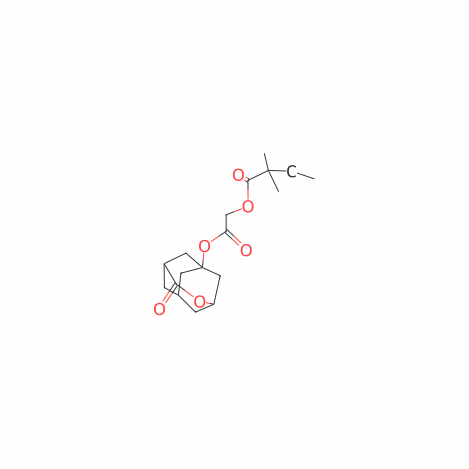 CCC(C)(C)C(=O)OCC(=O)OC12CC3CC(C1)OC(=O)C(C3)C2